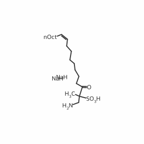 CCCCCCCC/C=C\CCCCCCCC(=O)C(C)(CN)S(=O)(=O)O.[NaH].[NaH]